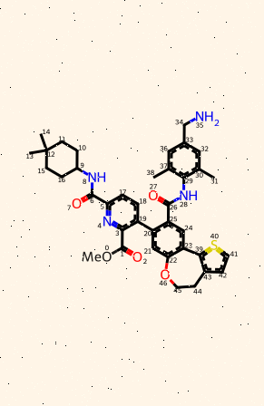 COC(=O)c1nc(C(=O)NC2CCC(C)(C)CC2)ccc1-c1cc2c(cc1C(=O)Nc1c(C)cc(CN)cc1C)-c1sccc1CCO2